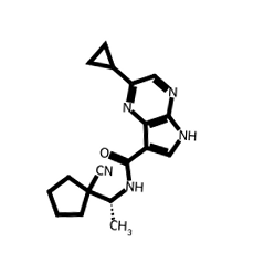 C[C@@H](NC(=O)c1c[nH]c2ncc(C3CC3)nc12)C1(C#N)CCCC1